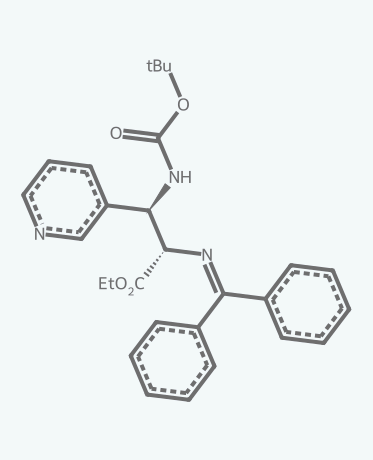 CCOC(=O)[C@@H](N=C(c1ccccc1)c1ccccc1)[C@H](NC(=O)OC(C)(C)C)c1cccnc1